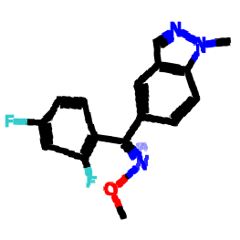 CO/N=C(/c1ccc2c(cnn2C)c1)c1ccc(F)cc1F